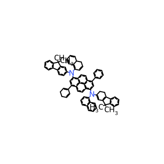 CC1(C)C2=C(CCC(N(c3cccc4ccccc34)c3cc(-c4ccccc4)c4ccc5c(N(C6=C7C=CC=CC7CC=C6)c6ccc7c(c6)C(C)(C)c6ccccc6-7)cc(C6=CCCC=C6)c6ccc3c4c65)=C2)c2ccccc21